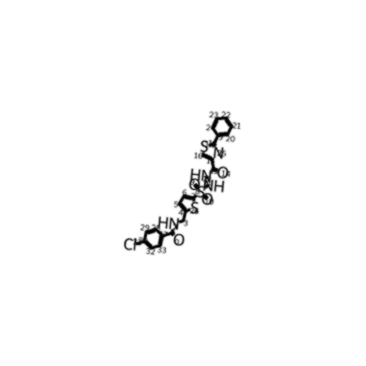 O=C(NCc1ccc(S(=O)(=O)NNC(=O)c2csc(-c3ccccc3)n2)s1)c1ccc(Cl)cc1